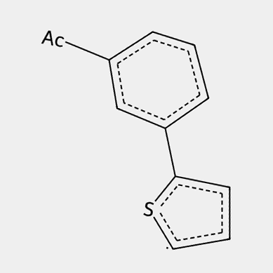 CC(=O)c1cccc(-c2cc[c]s2)c1